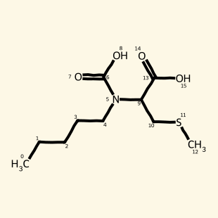 CCCCCN(C(=O)O)C(CSC)C(=O)O